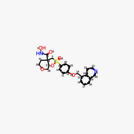 O=C(NO)C1(CS(=O)(=O)c2ccc(OCc3cccc4cnccc34)cc2)CCOCC1